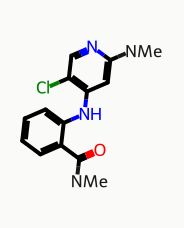 CNC(=O)c1ccccc1Nc1cc(NC)ncc1Cl